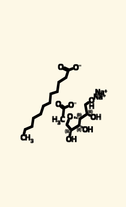 CC(=O)[O-].CCCCCCCCCCCC(=O)[O-].OC[C@@H](O)[C@H]1OC[C@H](O)[C@H]1O.[Na+].[Na+]